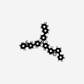 c1ccc(-c2cccc3c2oc2ccc(-c4ccc(N(c5ccc(-c6ccc7ccccc7c6)cc5)c5ccc(-c6ccc7c(c6)sc6ccccc67)cc5)cc4)cc23)cc1